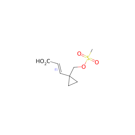 CS(=O)(=O)OCC1(/C=C/C(=O)O)CC1